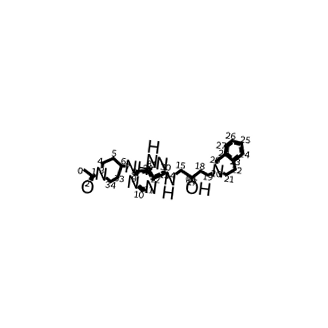 CC(=O)N1CCC(Nc2ncnc3c(NC[C@@H](O)CCN4CCc5ccccc5C4)n[nH]c23)CC1